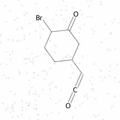 O=C=CC1CCC(Br)C(=O)C1